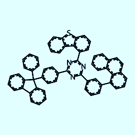 c1ccc(C2(c3ccc(-c4nc(-c5cccc(-c6cccc7ccc8ccccc8c67)c5)nc(-c5cccc6sc7ccccc7c56)n4)cc3)c3ccccc3-c3ccccc32)cc1